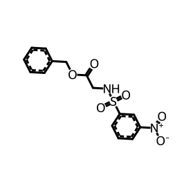 O=C(CNS(=O)(=O)c1cccc([N+](=O)[O-])c1)OCc1ccccc1